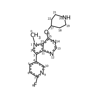 Cn1cc(-c2ccc(F)nc2)c2ncnc(OC3CCNCC3)c21